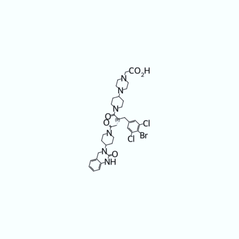 O=C(O)CN1CCN(C2CCN(C(=O)[C@@H](CC(=O)N3CCC(N4Cc5ccccc5NC4=O)CC3)Cc3cc(Cl)c(Br)c(Cl)c3)CC2)CC1